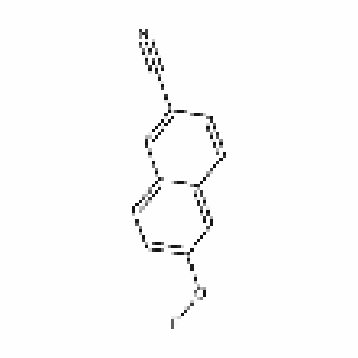 N#Cc1ccc2cc(OF)ccc2c1